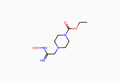 CCOC(=O)N1CCN(CC(=N)NO)CC1